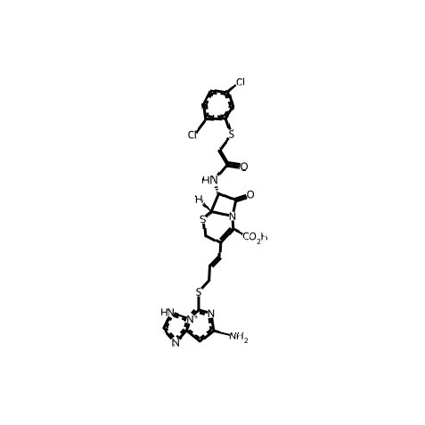 Nc1cc2nc[nH][n+]2c(SC/C=C/C2=C(C(=O)O)N3C(=O)[C@@H](NC(=O)CSc4cc(Cl)ccc4Cl)[C@H]3SC2)n1